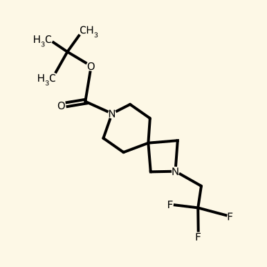 CC(C)(C)OC(=O)N1CCC2(CC1)CN(CC(F)(F)F)C2